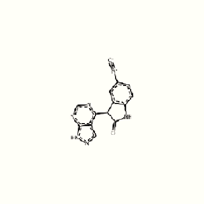 [C-]#[N+]c1ccc2c(c1)C(c1ncnc3[nH]ncc13)C(=O)N2